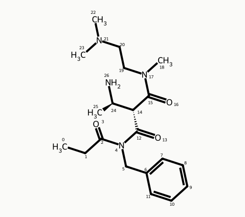 CCC(=O)N(Cc1ccccc1)C(=O)[C@@H](C(=O)N(C)CCN(C)C)[C@@H](C)N